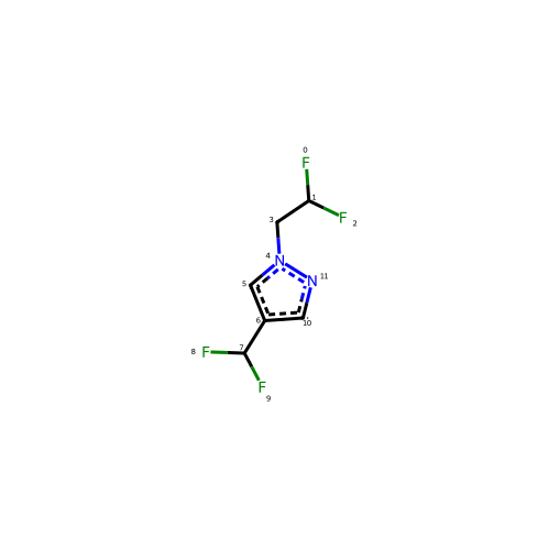 FC(F)Cn1[c]c(C(F)F)[c]n1